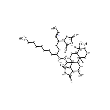 CCCC/C=C/C(CCC(CCCCCCCC(=O)O)OOC(C)C12CCC3C(C)(C(=O)O)CCCC3(C)C1CC(C(C)C)C1C(=O)OC(=O)C12)C1CC(=O)OC1=O